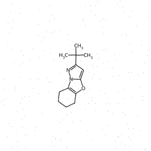 CC(C)(C)c1cc2oc3c(n2n1)CCCC3